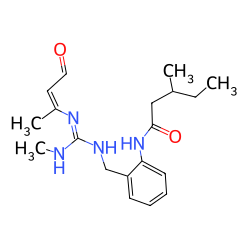 CCC(C)CC(=O)Nc1ccccc1CN/C(=N/C(C)=C\C=O)NC